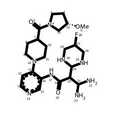 CO[C@H]1CCN(C(=O)C2CCN(c3ccncc3NC(=O)C(C(N)N)C3NCC(F)CN3)CC2)C1